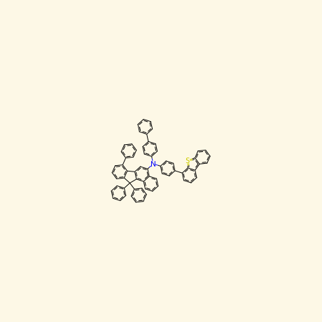 c1ccc(-c2ccc(N(c3ccc(-c4cccc5c4sc4ccccc45)cc3)c3cc4c(c5ccccc35)C(c3ccccc3)(c3ccccc3)c3cccc(-c5ccccc5)c3-4)cc2)cc1